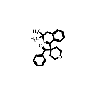 CC1(C)Cc2ccccc2C(C2(C(=O)c3ccccc3)CCOCC2)=N1